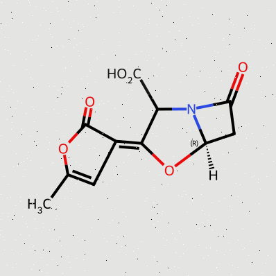 CC1=CC(=C2O[C@@H]3CC(=O)N3C2C(=O)O)C(=O)O1